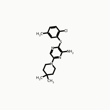 Cc1ccc(Cl)c(Sc2ncc(N3CCC(C)(C)CC3)nc2N)c1